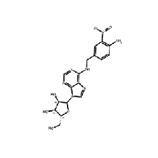 Nc1ccc(CNc2ncnc3c2ncn3C2O[C@H](CO)[C@@H](O)[C@H]2O)cc1[N+](=O)[O-]